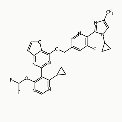 Fc1cc(COc2nc(-c3c(OC(F)F)ncnc3C3CC3)nc3ccoc23)cnc1-c1nc(C(F)(F)F)cn1C1CC1